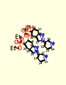 CCOP(=O)(OCC)c1ccc2nn(-c3cccnc3)cc2c1.O=P(O)(O)c1ccc2nn(-c3cccnc3)cc2c1